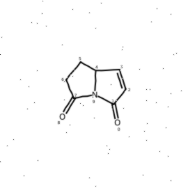 O=C1C=CC2CCC(=O)N12